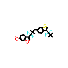 COc1ccc2c(C(F)(F)C(C)(C)Cc3ccc4c(C(F)(F)C(C)(C)C)csc4c3)coc2c1